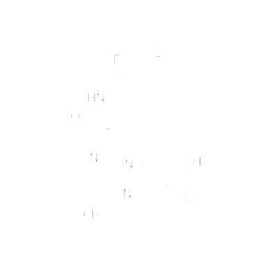 CCC(CC)c1nc2c(C)ccnc2n1Cc1cc(=O)[nH]c2c(F)c(F)ccc12